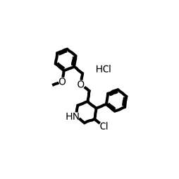 COc1ccccc1COCC1CNCC(Cl)C1c1ccccc1.Cl